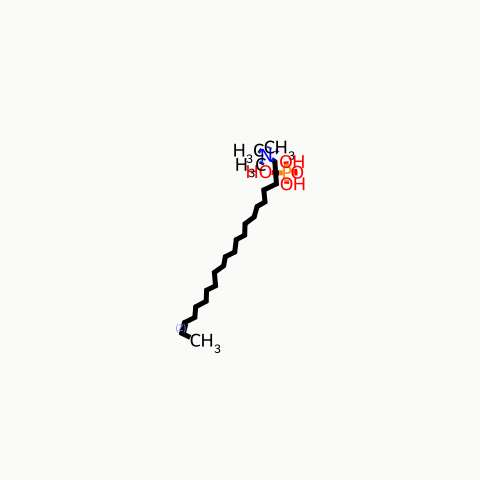 C/C=C\CCCCCCCCCCCCCCCCCC(O)(C[N+](C)(C)C)P(=O)(O)O